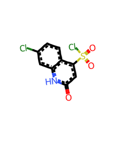 O=c1cc(S(=O)(=O)Cl)c2ccc(Cl)cc2[nH]1